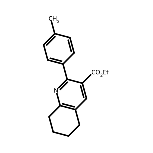 CCOC(=O)c1cc2c(nc1-c1ccc(C)cc1)CCCC2